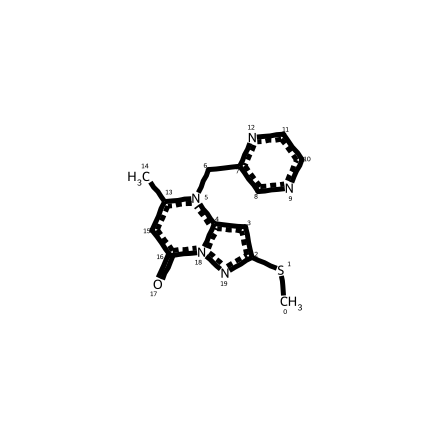 CSc1cc2n(Cc3cnccn3)c(C)cc(=O)n2n1